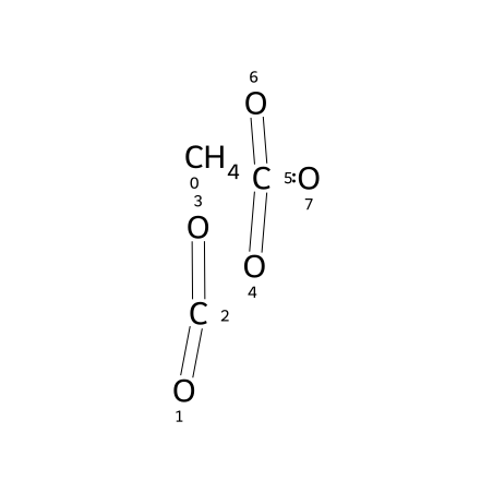 C.O=C=O.O=C=O.[O]